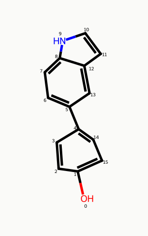 Oc1ccc(-c2ccc3[nH]ccc3c2)cc1